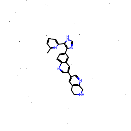 Cc1cccc(-c2[nH]cnc2-c2ccc3ncc(-c4cnc5c(c4)CCNC5)cc3c2)n1